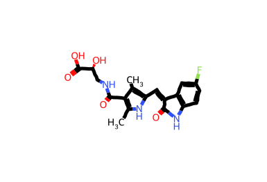 Cc1[nH]c(/C=C2\C(=O)Nc3ccc(F)cc32)c(C)c1C(=O)NC[C@H](O)C(=O)O